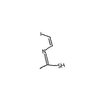 C/C(S)=N/C=C\I